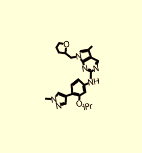 Cc1cn(CC2CCCO2)c2nc(Nc3ccc(-c4cnn(C)c4)c(OC(C)C)c3)ncc12